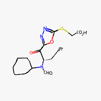 CC(C)C[C@@H](C(=O)c1nnc(SCC(=O)O)o1)N(C=O)C1CCCCC1